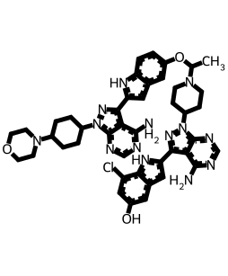 CC(Oc1ccc2[nH]c(-c3nn(C4CCC(N5CCOCC5)CC4)c4ncnc(N)c34)cc2c1)N1CCC(n2nc(-c3cc4cc(O)cc(Cl)c4[nH]3)c3c(N)ncnc32)CC1